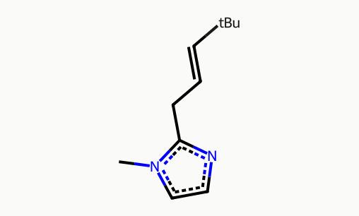 Cn1ccnc1C/C=C/C(C)(C)C